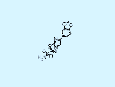 NS(=O)(=O)c1nn2cc(-c3ccc4c(c3)OCO4)nc2s1